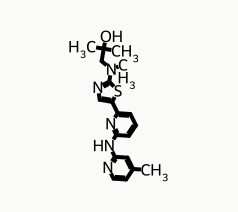 Cc1ccnc(Nc2cccc(-c3cnc(N(C)CC(C)(C)O)s3)n2)c1